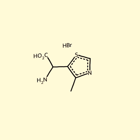 Br.Cc1ncsc1C(N)C(=O)O